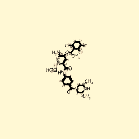 C[C@@H]1CN(C(=O)c2ccc(NC(=O)c3cc(O[C@H](C)c4c(Cl)ccc(F)c4Cl)c(N)nn3)cc2)C[C@H](C)N1.Cl.Cl